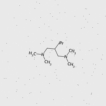 CC(C)C(CN(C)C)CN(C)C